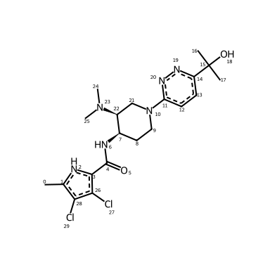 Cc1[nH]c(C(=O)N[C@@H]2CCN(c3ccc(C(C)(C)O)nn3)C[C@@H]2N(C)C)c(Cl)c1Cl